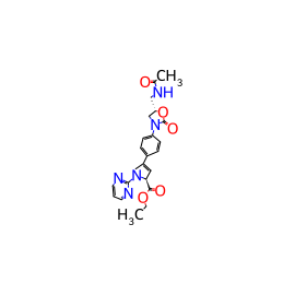 CCOC(=O)[C@@H]1C=C(c2ccc(N3C[C@H](CNC(C)=O)OC3=O)cc2)CN1c1ncccn1